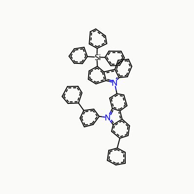 c1ccc(-c2cccc(-n3c4cc(-c5ccccc5)ccc4c4ccc(-n5c6ccccc6c6c([Si](c7ccccc7)(c7ccccc7)c7ccccc7)cccc65)cc43)c2)cc1